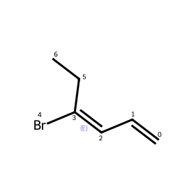 C=C/C=C(/Br)CC